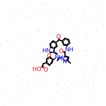 CCn1nc(C)cc1C(=O)Nc1cccc(C(=O)c2ccc3c(c2)/C(=C/Nc2ccc(CC(=O)O)cc2)C(=O)N3)c1